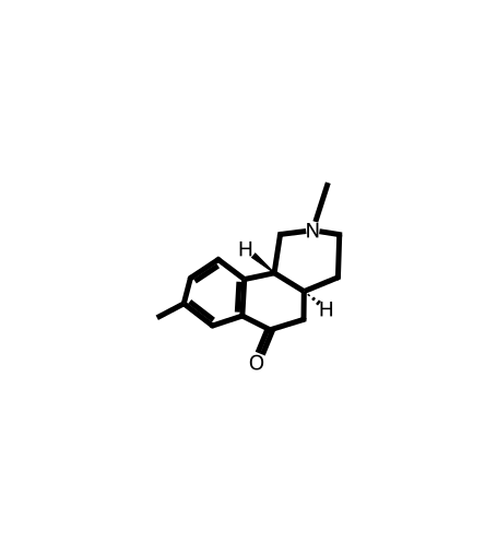 Cc1ccc2c(c1)C(=O)C[C@@H]1CCN(C)C[C@@H]21